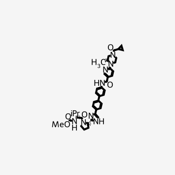 COC(=O)N[C@H](C(=O)N1CCC[C@H]1c1nc(-c2ccc(-c3ccc(NC(=O)c4ccc(N5CCN(C(=O)C6CC6)C[C@H]5C)nc4)cc3)cc2)c[nH]1)C(C)C